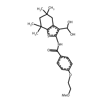 COCCOc1ccc(C(=O)Nc2sc3c(c2C(O)O)CC(C)(C)CC3(C)C)cc1